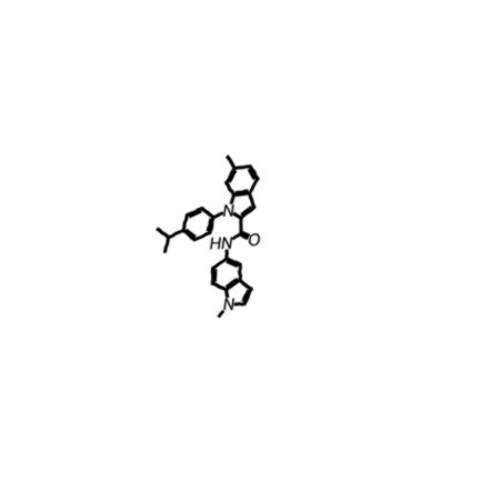 Cc1ccc2cc(C(=O)Nc3ccc4c(ccn4C)c3)n(-c3ccc(C(C)C)cc3)c2c1